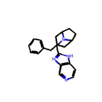 c1ccc(CC2CC3CCC(C2)N3Cc2nc3cnccc3[nH]2)cc1